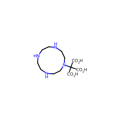 O=C(O)C(C(=O)O)(C(=O)O)N1CCNCCNCCNCC1